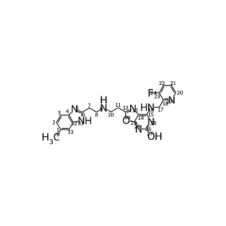 Cc1ccc2nc(CCNCCc3nc4c(NCc5ncccc5F)nc(O)nc4o3)[nH]c2c1